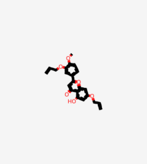 C=CCOc1cc(O)c2c(=O)cc(-c3ccc(OC)c(OCC=C)c3)oc2c1